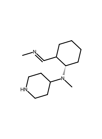 C/N=C/C1CCCC[C@@H]1N(C)C1CCNCC1